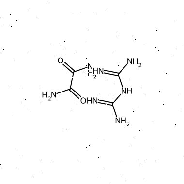 N=C(N)NC(=N)N.NC(=O)C(N)=O